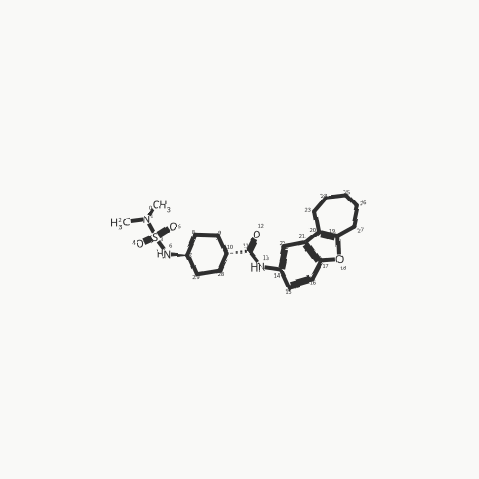 CN(C)S(=O)(=O)N[C@H]1CC[C@H](C(=O)Nc2ccc3oc4c(c3c2)CCCCC4)CC1